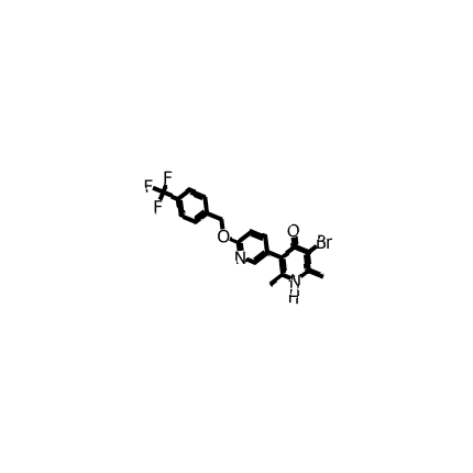 Cc1[nH]c(C)c(-c2ccc(OCc3ccc(C(F)(F)F)cc3)nc2)c(=O)c1Br